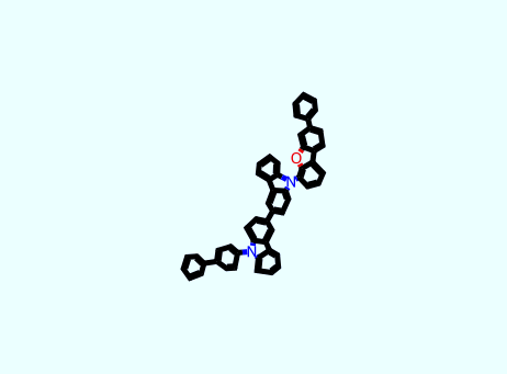 c1ccc(-c2ccc(-n3c4ccccc4c4cc(-c5ccc6c(c5)c5ccccc5n6-c5cccc6c5oc5cc(-c7ccccc7)ccc56)ccc43)cc2)cc1